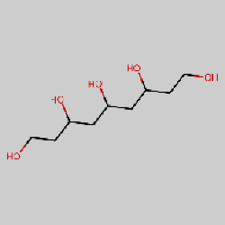 OCCC(O)CC(O)CC(O)CCO